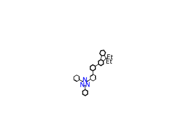 CCC1(CC)c2ccccc2-c2cc(-c3cccc(C4=CC(c5nc(C6=CCCC=C6)nc(-c6ccccc6)n5)CC=C4)c3)ccc21